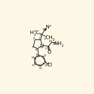 CC(C)(C#N)C1CCC(c2cccc(Cl)c2)N1C(=O)CN